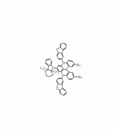 CC(C)(C)c1ccc2c(c1)B1c3cc(C(C)(C)C)ccc3N(c3ccc4oc5ccccc5c4c3)c3cc(N4c5ccccc5C5(C)CCCCC45C)cc(c31)N2c1ccc2oc3ccccc3c2c1